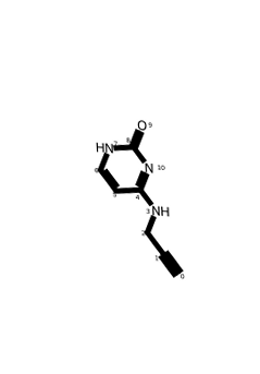 C#CCNc1cc[nH]c(=O)n1